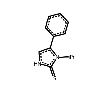 CC(C)n1c(-c2ccccc2)c[nH]c1=S